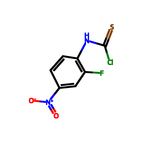 O=[N+]([O-])c1ccc(NC(=S)Cl)c(F)c1